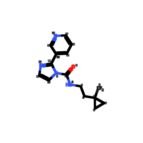 O=C(NCCC1(C(F)(F)F)CC1)n1ccnc1-c1cccnc1